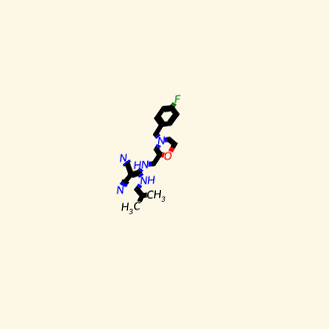 CC(C)CNC(NCC1CN(Cc2ccc(F)cc2)CCO1)=C(C#N)C#N